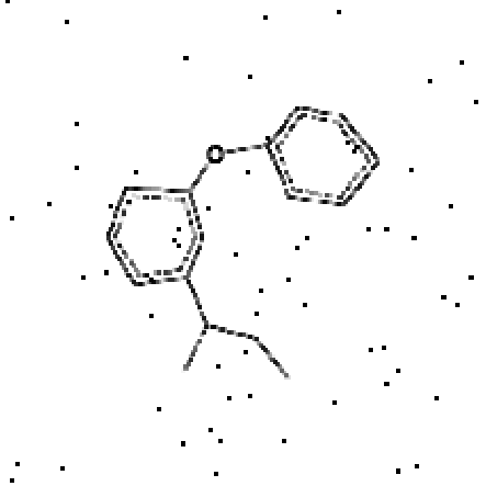 CCC(C)c1cccc(Oc2ccccc2)c1